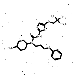 CC1CCC(N(CCCSc2ccccc2)C(=O)Nc2ncc(SCC(C)(C)C(=O)O)s2)CC1